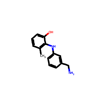 Cc1cccc(O)c1Nc1cccc(CN)c1